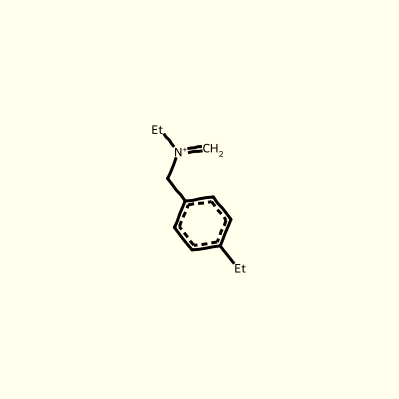 C=[N+](CC)Cc1ccc(CC)cc1